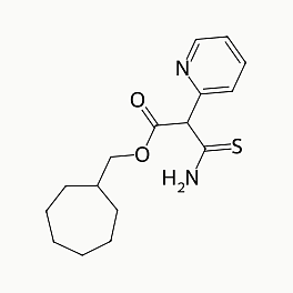 NC(=S)C(C(=O)OCC1CCCCCC1)c1ccccn1